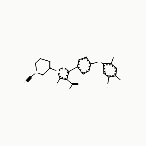 N#CN1CCCC(n2nc(-c3ccc(Oc4cc(F)c(F)cc4F)cc3)c(C(N)=O)c2N)C1